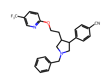 N#Cc1ccc(C2CN(Cc3ccccc3)CC2CCOc2ccc(C(F)(F)F)cn2)cc1